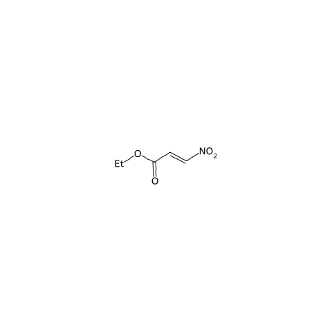 CCOC(=O)C=C[N+](=O)[O-]